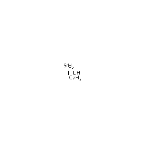 F.[GaH3].[LiH].[SrH2]